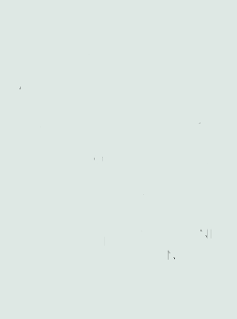 Ic1n[nH]c2cccc(Oc3ccccc3)c12